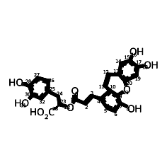 O=C(/C=C/c1ccc(O)c2c1C=Cc1cc(O)c(O)cc1O2)O[C@H](Cc1ccc(O)c(O)c1)C(=O)O